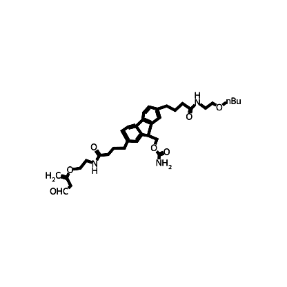 C=C(CC=O)OCCNC(=O)CCCc1ccc2c(c1)C(COC(N)=O)c1cc(CCCC(=O)NCCOCCCC)ccc1-2